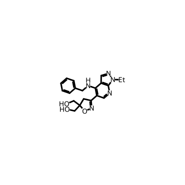 CCn1ncc2c(NCc3ccccc3)c(C3=NOC(CO)(CO)C3)cnc21